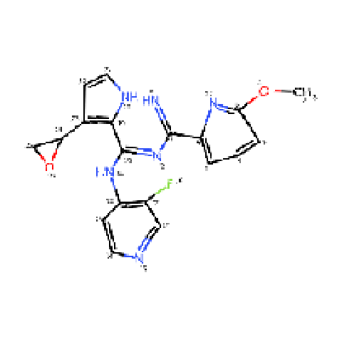 COc1cccc(C(=N)/N=C(/Nc2ccncc2F)c2[nH]ccc2C2CO2)n1